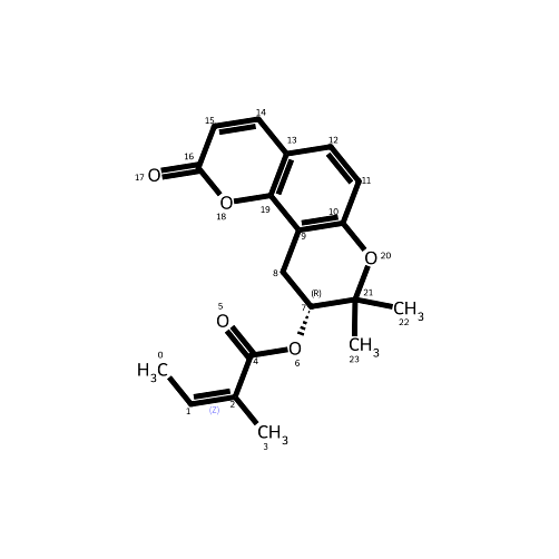 C/C=C(/C)C(=O)O[C@@H]1Cc2c(ccc3ccc(=O)oc23)OC1(C)C